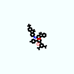 Cc1ccc(-c2cccc3c2oc2c(C(C)C)cc(C(C)C)cc23)c(N(c2ccc3c(c2)C(C)(C)c2ccccc2-3)c2ccc3c(c2)C(C)(C)c2cc(C(C)(C)C)ccc2-3)c1